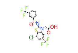 O=C(O)Cn1/c(=N/C(=O)c2cccc(C(F)(F)F)c2)sc2c(Cl)cc(C(F)(F)F)cc21